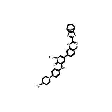 CN1CCN(c2ccc(Nc3cc(-c4ccc(F)c(NC(=O)c5nc6c(s5)C5CCC6CC5)c4)cn(C)c3=O)nc2)CC1